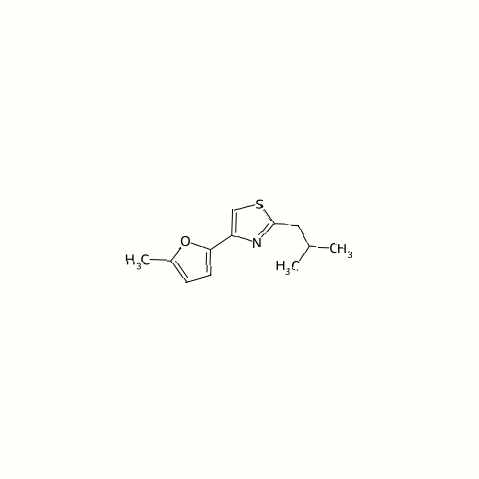 Cc1ccc(-c2csc(CC(C)C)n2)o1